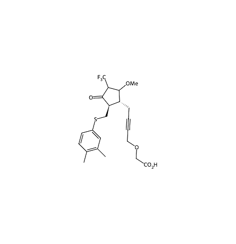 COC1C(C(F)(F)F)C(=O)[C@H](CSc2ccc(C)c(C)c2)[C@H]1CC#CCOCC(=O)O